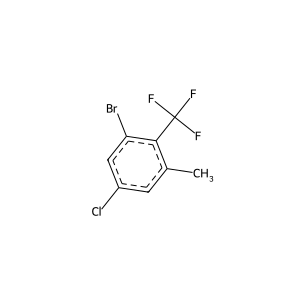 Cc1cc(Cl)cc(Br)c1C(F)(F)F